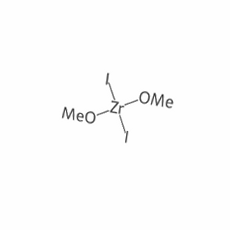 C[O][Zr]([I])([I])[O]C